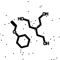 C=COC1CCCCC1.OCCN(CCO)CCO